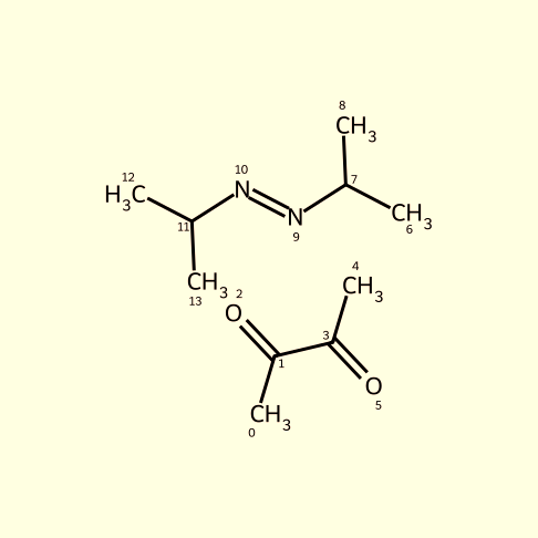 CC(=O)C(C)=O.CC(C)/N=N/C(C)C